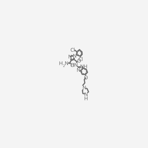 NC(=O)c1ncn(-c2c(Cl)cccc2Cl)c1C(=O)Nc1nc2cc(OCCCN3CCNCC3)ccc2[nH]1